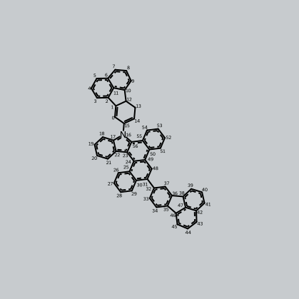 C1=C2c3cccc4cccc(c34)C2CC=C1n1c2ccccc2c2c3c4ccccc4c(-c4ccc5c(c4)-c4cccc6cccc-5c46)cc3c3ccccc3c21